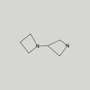 C1CN(C2C[N]C2)C1